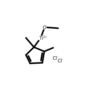 C[O][Ti+2][C]1(C)C=CC=C1C.[Cl-].[Cl-]